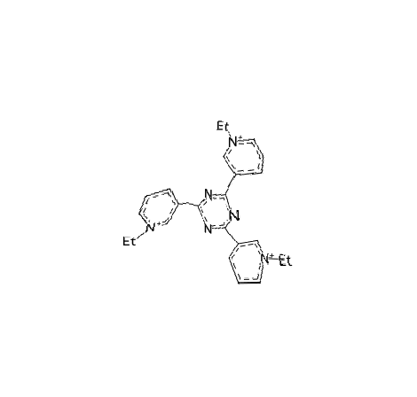 CC[n+]1cccc(-c2nc(-c3ccc[n+](CC)c3)nc(-c3ccc[n+](CC)c3)n2)c1